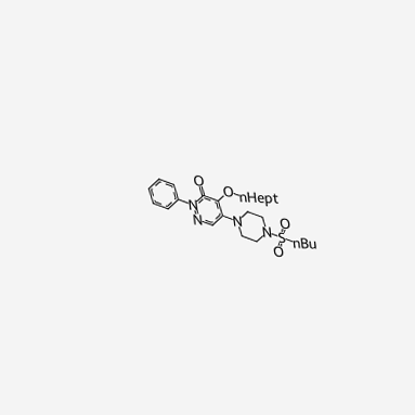 CCCCCCCOc1c(N2CCN(S(=O)(=O)CCCC)CC2)cnn(-c2ccccc2)c1=O